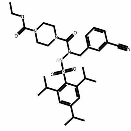 CCOC(=O)N1CCN(C(=O)N(Cc2cccc(C#N)c2)NS(=O)(=O)c2c(C(C)C)cc(C(C)C)cc2C(C)C)CC1